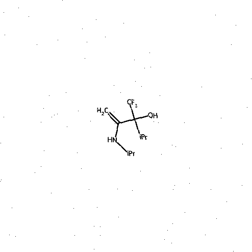 C=C(NC(C)C)C(O)(C(C)C)C(F)(F)F